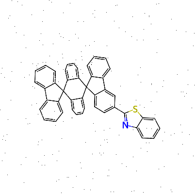 c1ccc2c(c1)-c1ccccc1C21c2ccccc2C2(c3ccccc3-c3cc(-c4nc5ccccc5s4)ccc32)c2ccccc21